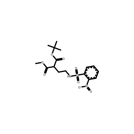 COC(=O)C(CCNS(=O)(=O)c1ccccc1[N+](=O)[O-])C(=O)OC(C)(C)C